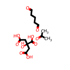 CC(C)=O.O=C(O)CC(O)(CC(=O)O)C(=O)O.O=CCCCC=O